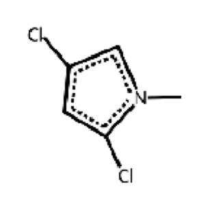 Cn1cc(Cl)cc1Cl